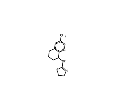 Cc1cnc2c(c1)CCCC2NC1=NCCS1